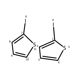 Ic1cc[c]s1.Ic1cc[c]s1